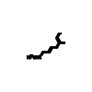 [CH2]C=C(C)CC=CCCCCCC